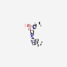 C[C@H]1CC[C@H](c2ccc3nn([C@@H]4CCN(C)C(C)(C)C4)cc3c2)N(C(=O)O)C1